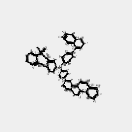 CC1(C)c2ccccc2-c2ccc(N(c3ccc(-c4ccc5ccc6c7ccccc7ccc6c5c4)cc3)c3ccc(-c4cccc5ccccc45)cc3)cc21